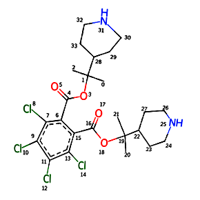 CC(C)(OC(=O)c1c(Cl)c(Cl)c(Cl)c(Cl)c1C(=O)OC(C)(C)C1CCNCC1)C1CCNCC1